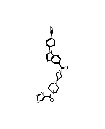 N#Cc1ccc(-n2ccc3cc(C(=O)N4CC(N5CCN(C(=O)c6cscn6)CC5)C4)ccc32)cc1